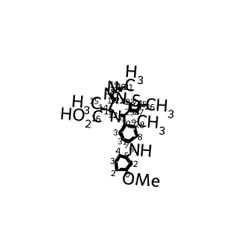 COc1cccc(Nc2ccc(C3=N[C@@H](C(C)C(=O)O)c4nnc(C)n4-c4sc(C)c(C)c43)cc2)c1